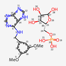 COc1cc(CNc2ncnc3nc[nH]c23)cc(OC)c1.O=P(O)(O)OC[C@H]1OC(O)[C@H](O)[C@@H]1O